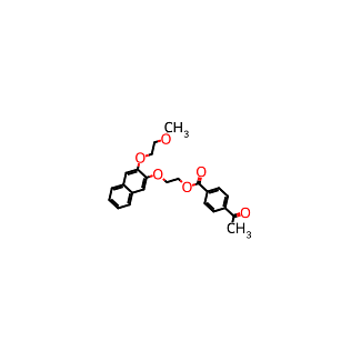 COCCOc1cc2ccccc2cc1OCCOC(=O)c1ccc(C(C)=O)cc1